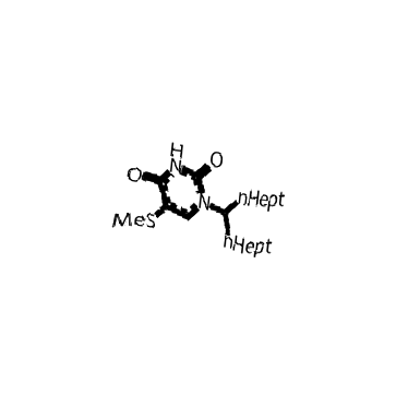 CCCCCCCC(CCCCCCC)n1cc(SC)c(=O)[nH]c1=O